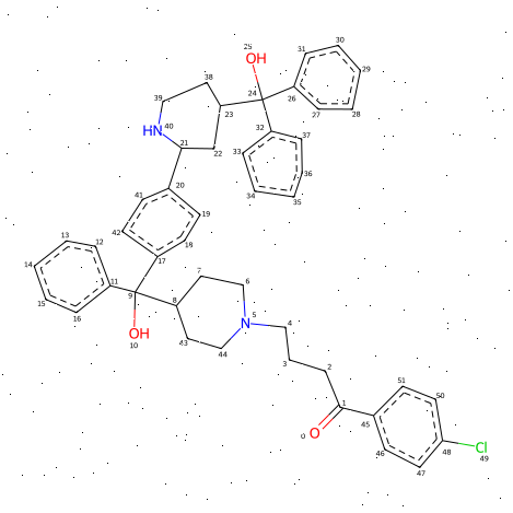 O=C(CCCN1CCC(C(O)(c2ccccc2)c2ccc(C3CC(C(O)(c4ccccc4)c4ccccc4)CCN3)cc2)CC1)c1ccc(Cl)cc1